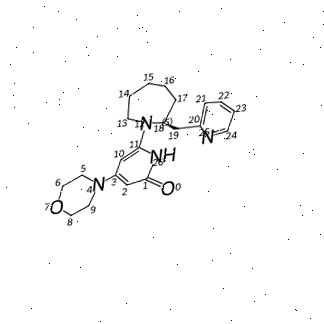 O=c1cc(N2CCOCC2)cc(N2CCCCC[C@H]2Cc2ccccn2)[nH]1